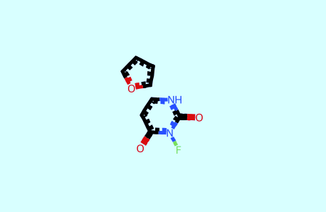 O=c1cc[nH]c(=O)n1F.c1ccoc1